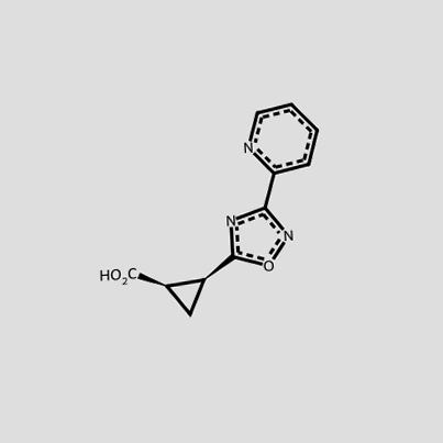 O=C(O)[C@@H]1C[C@@H]1c1nc(-c2ccccn2)no1